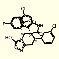 Cc1ccc(F)cc1[C@H]1n2c(O)nnc2C[C@H](C2C=CC=C(Cl)C2)[C@]12C(=O)Nc1cc(Cl)ccc12